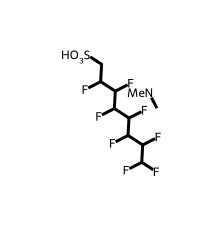 CNC.O=S(=O)(O)CC(F)C(F)C(F)C(F)C(F)C(F)C(F)F